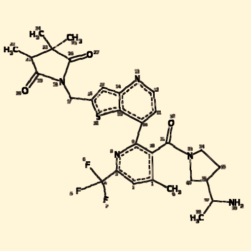 Cc1cc(C(F)(F)F)nc(-c2ccnc3cc(CN4C(=O)C(C)C(C)(C)C4=O)sc23)c1C(=O)N1CCC(C(C)N)C1